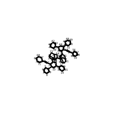 C(#Cc1c(-c2ccccc2)cc(-c2ccccc2)cc1C12CC3CC(C1)CC(C14CC5CC(CC(c6cc(-c7ccccc7)cc(-c7ccccc7)c6C#Cc6ccccc6)(C5)C1)C4)(C3)C2)c1ccccc1